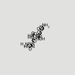 Nc1ccn([C@H]2C[C@H](OP(=O)(O)OC[C@H]3O[C@@H](n4cnc5c(=O)[nH]c(N)nc54)C[C@@H]3O)[C@@H](COP(=O)(O)O)O2)c(=O)n1